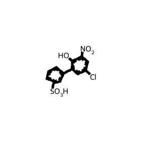 O=[N+]([O-])c1cc(Cl)cc(-c2cccc(S(=O)(=O)O)c2)c1O